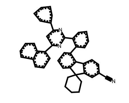 N#Cc1ccc2c(c1)C1(CCCCC1)c1cccc(-c3ccccc3-c3nc(-c4ccccc4)cc(-c4cccc5ccccc45)n3)c1-2